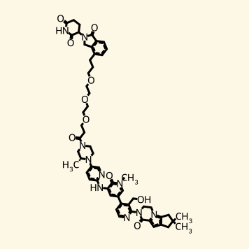 C[C@H]1CN(C(=O)CCOCCOCCOCCCc2cccc3c2CN(C2CCC(=O)NC2=O)C3=O)CCN1c1ccc(Nc2cc(-c3ccnc(N4CCn5c(cc6c5CC(C)(C)C6)C4=O)c3CO)cn(C)c2=O)nc1